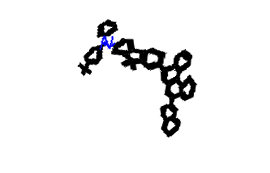 CC(C)(C)c1ccc(N(c2ccccc2)c2ccc3c(c2)C(C)(C)c2cc(-c4cc5cc(-c6ccc7ccccc7c6)c6ccccc6c5c5ccccc45)ccc2-3)cc1